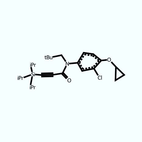 CC(C)[Si](C#CC(=O)N(CC(C)(C)C)c1ccc(OC2CC2)c(Cl)c1)(C(C)C)C(C)C